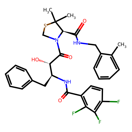 Cc1ccccc1CNC(=O)[C@H]1N(C(=O)[C@@H](O)[C@H](Cc2ccccc2)NC(=O)c2ccc(F)c(F)c2F)CSC1(C)C